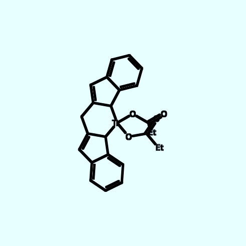 CCC(=O)[O][Ti]1([O]C(=O)CC)[CH]2C(=Cc3ccccc32)CC2=Cc3ccccc3[CH]21